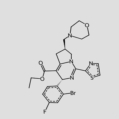 CCOC(=O)C1=C2C[C@@H](CN3CCOCC3)CN2C(c2nccs2)=N[C@@H]1c1ccc(F)cc1Br